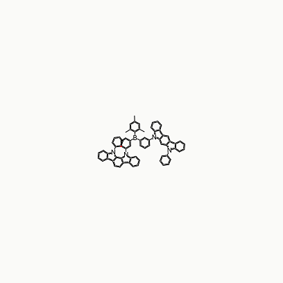 Cc1cc(C)c(B(c2cccc(-n3c4ccccc4c4cc5c6ccccc6n(-c6ccccc6)c5cc43)c2)c2cccc(-n3c4ccccc4c4ccc5c6ccccc6n(-c6ccccc6)c5c43)c2)c(C)c1